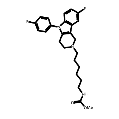 COC(=O)NCCCCCCN1CCc2c(c3cc(F)ccc3n2-c2ccc(F)cc2)C1